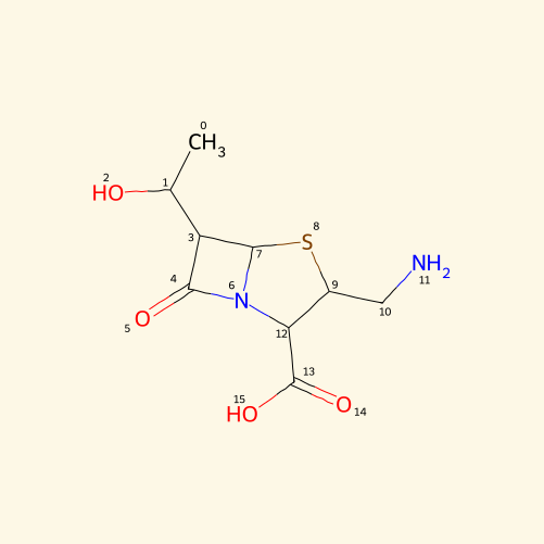 CC(O)C1C(=O)N2C1SC(CN)C2C(=O)O